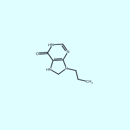 CCCN1CNc2c1nc[nH]c2=O